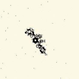 CN1CC[N+](C)(CC(=O)Nc2cccc(N(O)C(=O)C[N+]3(C)CCN(C)CC3)c2)CC1.[Cl-].[Cl-]